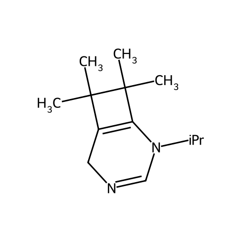 CC(C)N1C=NCC2=C1C(C)(C)C2(C)C